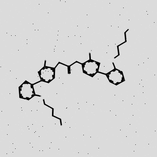 CCCCCOc1ccccc1-c1ccc(CC(=O)Cc2ccc(-c3ccccc3OCCCCC)cc2O)c(O)c1